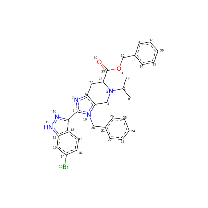 CC(C)N1Cc2c(nc(-c3n[nH]c4cc(Br)ccc34)n2Cc2ccccc2)CC1C(=O)OCc1ccccc1